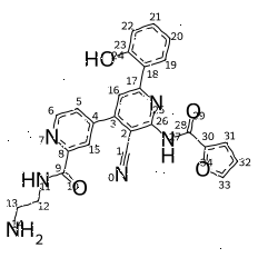 N#Cc1c(-c2ccnc(C(=O)NCCN)c2)cc(-c2ccccc2O)nc1NC(=O)c1ccco1